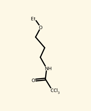 CCOCCCNC(=O)C(Cl)(Cl)Cl